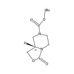 CC(C)(C)OC(=O)N1CCN2[C@H](COS2=O)C1